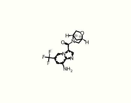 Nc1cc(C(F)(F)F)cn2c(C(=O)N3C[C@@H]4C[C@H]3CO4)cnc12